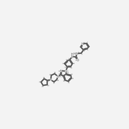 O=C(NCc1cccnc1)Nc1ccc(-n2nc(N3CCN(C4CCCC4)CC3)c3ccccc32)cc1